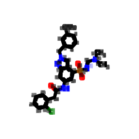 COc1cccc(Cn2cc3c(S(=O)(=O)/N=C/N(C)C)cc(NC(=O)Cc4ccccc4Cl)cc3n2)c1